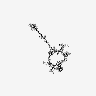 N=C(N)NCCC[C@H]1NC(=O)[C@@H](NC(=O)COCCOCCOCCNC(=O)CCCCC2SC[C@H]3NC(=O)N[C@@H]23)Cc2cn(nn2)CCCC[C@@H](C(N)=O)NC(=O)[C@@H](CCCCN)NC(=O)[C@@H](Cc2c[nH]c3ccccc23)NC(=O)CNC(=O)[C@@H](Cc2c[nH]cn2)NC1=O